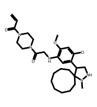 C=CC(=O)N1CCN(C(=O)CNc2cc(C3CNN(C)C34CCCCCCCC4)c(Cl)cc2OC)CC1